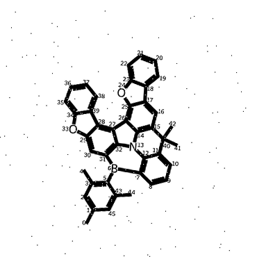 Cc1cc(C)c(B2c3cccc4c3-n3c5c(cc6c7ccccc7oc6c5c5c6c(cc2c53)oc2ccccc26)C4(C)C)c(C)c1